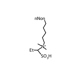 CCCCCCCCCCCCCC[N+](C)(C)C(CC)S(=O)(=O)O